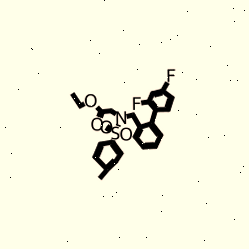 CCOC(=O)CN(Cc1ccccc1-c1ccc(F)cc1F)S(=O)(=O)c1ccc(C)cc1